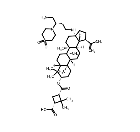 C=C(C)[C@@H]1CC[C@]2(NCC[C@@H](CN)N3CCS(=O)(=O)CC3)CC[C@]3(C)[C@H](CC[C@@H]4[C@@]5(C)CC[C@H](OC(=O)[C@H]6C[C@@H](C(=O)O)C6(C)C)C(C)(C)[C@@H]5CC[C@]43C)[C@@H]12